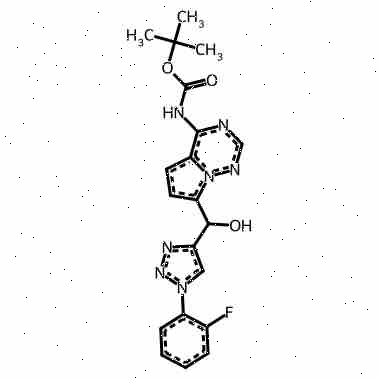 CC(C)(C)OC(=O)Nc1ncnn2c(C(O)c3cn(-c4ccccc4F)nn3)ccc12